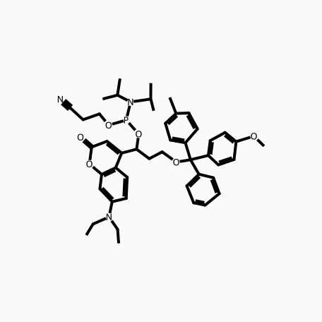 CCN(CC)c1ccc2c(C(CCOC(c3ccccc3)(c3ccc(C)cc3)c3ccc(OC)cc3)OP(OCCC#N)N(C(C)C)C(C)C)cc(=O)oc2c1